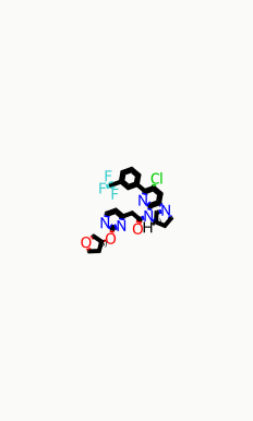 O=C(Cc1ccnc(O[C@H]2CCOC2)n1)N1c2nc(-c3cccc(C(F)(F)F)c3)c(Cl)cc2N2CC[C@H]1C2